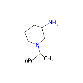 CCCC(C)N1CCCC(N)C1